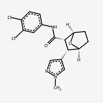 Cn1cc([C@@H]2[C@H](C(=O)Nc3ccc(Cl)c(Cl)c3)[C@H]3CC[C@@H]2O3)cn1